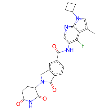 Cc1cn(C2CCC2)c2ncc(NC(=O)c3ccc4c(c3)CN(C3CCC(=O)NC3=O)C4=O)c(F)c12